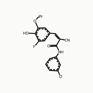 CC(C)Oc1cc(C=C(C#N)C(=O)Nc2cccc(Cl)c2)cc(F)c1O